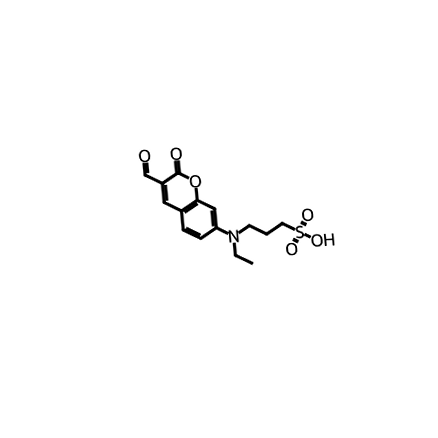 CCN(CCCS(=O)(=O)O)c1ccc2cc(C=O)c(=O)oc2c1